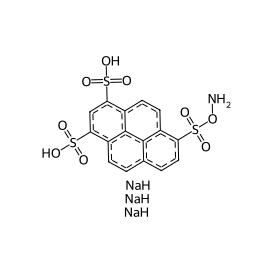 NOS(=O)(=O)c1ccc2ccc3c(S(=O)(=O)O)cc(S(=O)(=O)O)c4ccc1c2c34.[NaH].[NaH].[NaH]